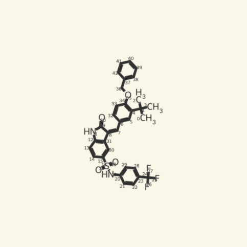 CC(C)(C)c1cc(C=C2C(=O)Nc3ccc(S(=O)(=O)Nc4ccc(C(F)(F)F)cc4)cc32)ccc1OCc1ccccc1